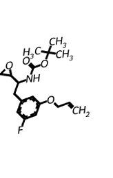 C=CCOc1cc(F)cc(CC(NC(=O)OC(C)(C)C)C2CO2)c1